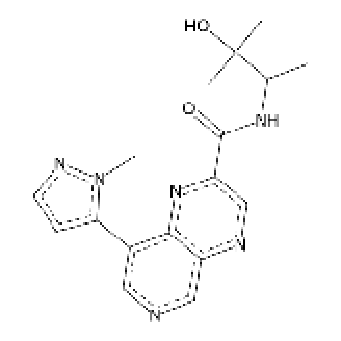 CC(NC(=O)c1cnc2cncc(-c3ccnn3C)c2n1)C(C)(C)O